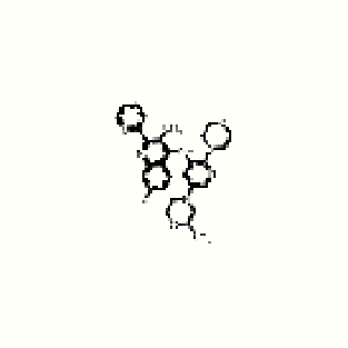 Cc1c(-c2ccccn2)nc2cc(F)ccc2c1Nc1cc(N2CCO[C@H](C)C2)cnc1N1CCOCC1